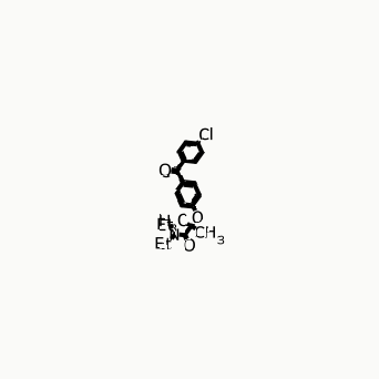 CCN(CC)C(=O)C(C)(C)Oc1ccc(C(=O)c2ccc(Cl)cc2)cc1